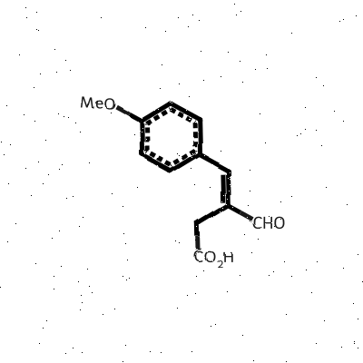 COc1ccc(C=C(C=O)CC(=O)O)cc1